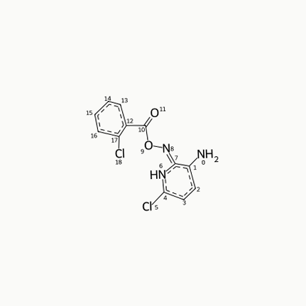 Nc1ccc(Cl)[nH]c1=NOC(=O)c1ccccc1Cl